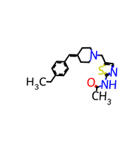 CCc1ccc(C=C2CCN(Cc3cnc(NC(C)=O)s3)CC2)cc1